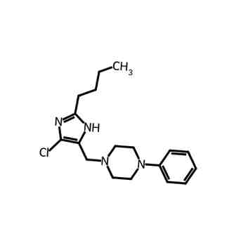 CCCCc1nc(Cl)c(CN2CCN(c3ccccc3)CC2)[nH]1